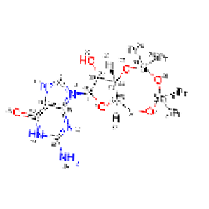 CC(C)[Si]1(C(C)C)OC[C@H]2O[C@@H](n3cnc4c(=O)[nH]c(N)nc43)[C@H](O)[C@@H]2O[Si](C(C)C)(C(C)C)O1